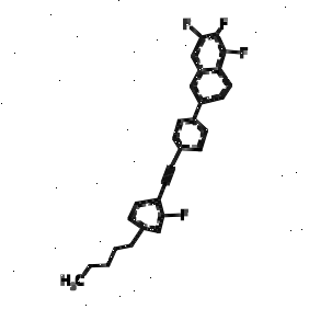 CCCCCc1ccc(C#Cc2ccc(-c3ccc4c(F)c(F)c(F)cc4c3)cc2)c(F)c1